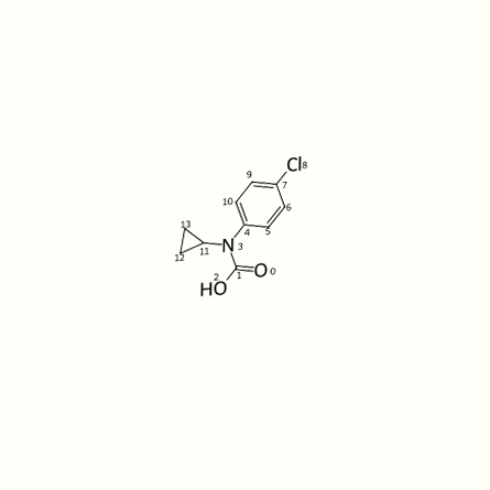 O=C(O)N(c1ccc(Cl)cc1)C1CC1